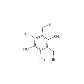 Cc1c(O)c(C)c(CBr)c(C)c1CBr